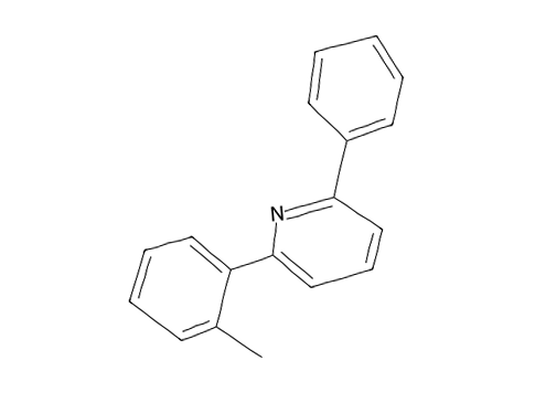 Cc1ccccc1-c1cccc(-c2ccccc2)n1